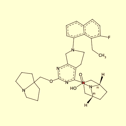 CCc1c(F)ccc2cccc(N3CCc4c(nc(OCC56CCCN5CCC6)nc4N4C[C@H]5CC[C@@H](C4)N5C(=O)O)C3)c12